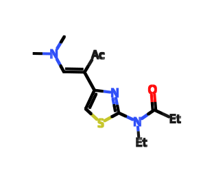 CCC(=O)N(CC)c1nc(C(=CN(C)C)C(C)=O)cs1